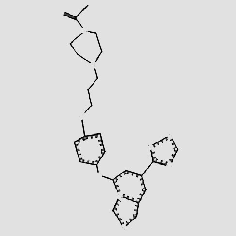 CC(=O)N1CCN(CCCOc2ccc(Oc3cc(-c4nnco4)cc4cncn34)cc2)CC1